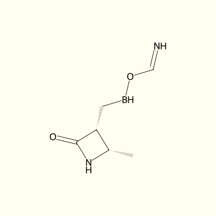 C[C@@H]1NC(=O)[C@@H]1CBOC=N